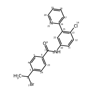 CC(Br)c1ccc(C(=O)Nc2ccc(Cl)c(-c3ccccn3)c2)cc1